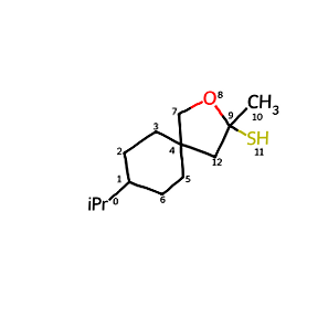 CC(C)C1CCC2(CC1)COC(C)(S)C2